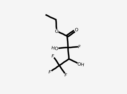 CCOC(=O)C(O)(F)C(O)C(F)(F)F